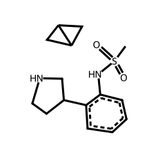 C1C2CC12.CS(=O)(=O)Nc1ccccc1C1CCNC1